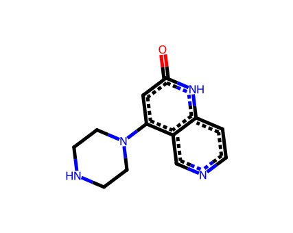 O=c1cc(N2CCNCC2)c2cnccc2[nH]1